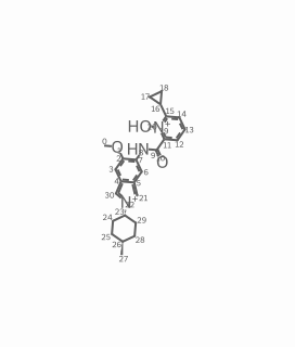 COc1cc2c(cc1NC(=O)c1cccc(C3CC3)[n+]1O)=C[N+]([C@H]1CC[C@H](C)CC1)=C=2